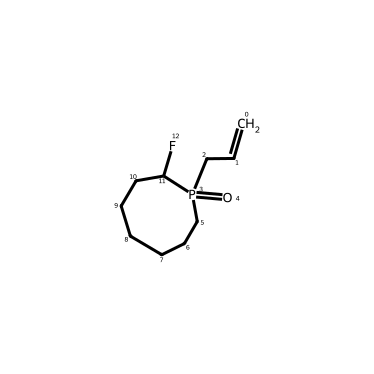 C=CCP1(=O)CCCCCCC1F